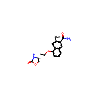 COc1cc2c(OCC[C@@H]3COC(=O)N3)cccc2cc1C(N)=O